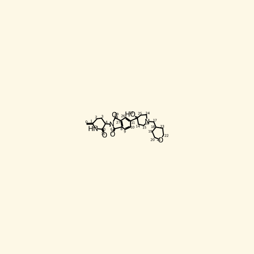 C=C1CCC(N2C(=O)c3ccc(C4(O)CCN(CC5CCOCC5)CC4)cc3C2=O)C(=O)N1